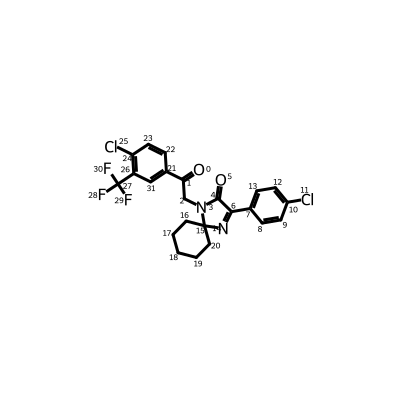 O=C(CN1C(=O)C(c2ccc(Cl)cc2)=NC12CCCCC2)c1ccc(Cl)c(C(F)(F)F)c1